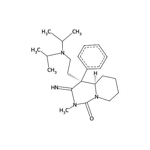 CC(C)N(CC[C@@]1(c2ccccc2)C(=N)N(C)C(=O)N2CCCC[C@@H]21)C(C)C